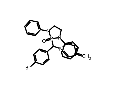 C=C1CCN(C(c2ccc(Br)cc2)P2(=O)N(c3ccccc3)CCN2c2ccccc2)CC1